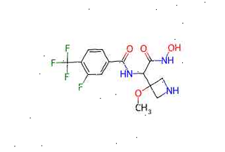 COC1(C(NC(=O)c2ccc(C(F)(F)F)c(F)c2)C(=O)NO)CNC1